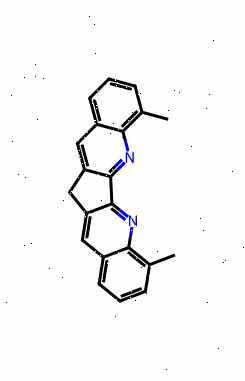 Cc1cccc2cc3c(nc12)-c1nc2c(C)cccc2cc1C3